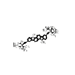 CC(C)[Si](C#Cc1ccc2c(c1)c1ccc3c(ccc4c5cc(C#C[Si](C(C)C)(C(C)C)C(C)C)ccc5n(C)c43)c1n2C)(C(C)C)C(C)C